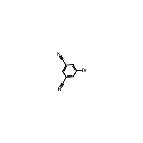 N#Cc1cc(Br)cc(C#N)c1